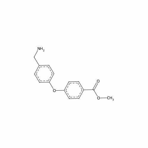 COC(=O)c1ccc(Oc2ccc(CN)cc2)cc1